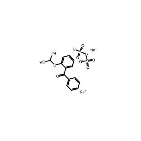 O=C(c1ccccc1)c1ccccc1OC(O)O.O=S(=O)([O-])OS(=O)(=O)[O-].[Na+].[Na+]